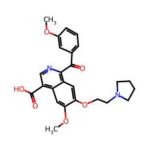 COc1cccc(C(=O)c2ncc(C(=O)O)c3cc(OC)c(OCCN4CCCC4)cc23)c1